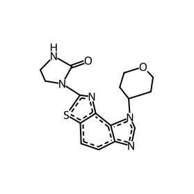 O=C1NCCN1c1nc2c(ccc3ncn(C4CCOCC4)c32)s1